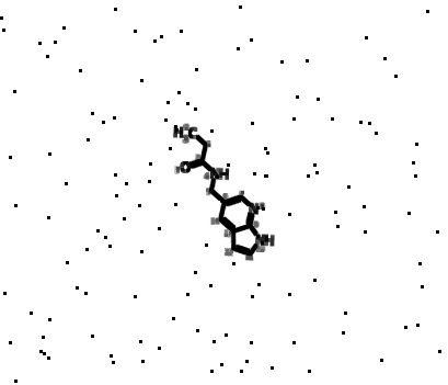 CCC(=O)NCc1cnc2[nH]ccc2c1